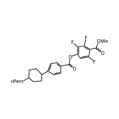 CCCCCC1CCC(c2ccc(C(=O)Oc3cc(F)c(C(=O)OC)c(F)c3F)cc2)CC1